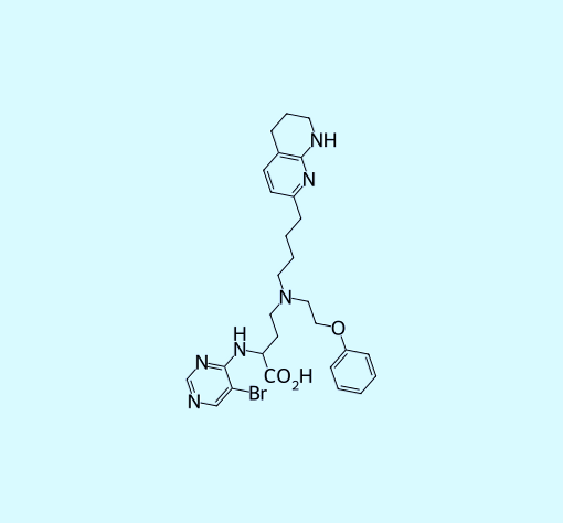 O=C(O)C(CCN(CCCCc1ccc2c(n1)NCCC2)CCOc1ccccc1)Nc1ncncc1Br